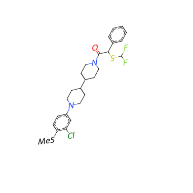 CSc1ccc(N2CCC(C3CCN(C(=O)C(SC(F)F)c4ccccc4)CC3)CC2)cc1Cl